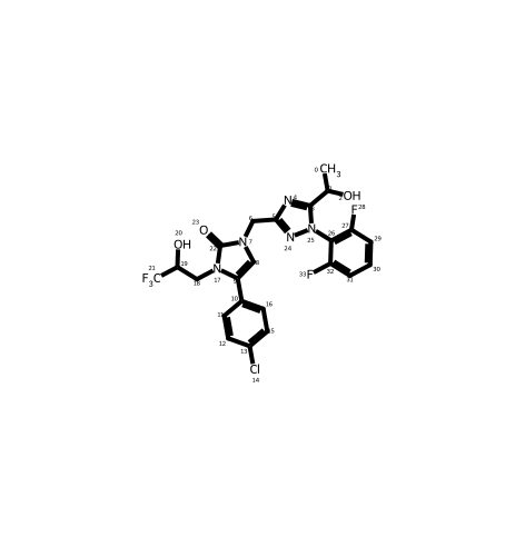 CC(O)c1nc(Cn2cc(-c3ccc(Cl)cc3)n(CC(O)C(F)(F)F)c2=O)nn1-c1c(F)cccc1F